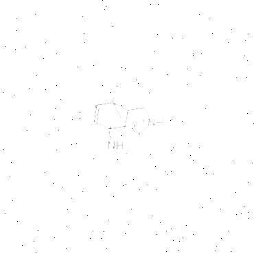 NC12C=CC(C1)C1CNCC12